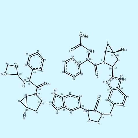 COC(=O)N[C@@H](C(=O)N1C2C[C@@H]2C[C@H]1c1nc2cc(CN3CCN(c4ccc5[nH]c([C@@H]6C[C@H]7CC7N6C(=O)[C@H](NC6OCO6)c6ccccc6)nc5c4)C3=O)ccc2[nH]1)c1ccccc1